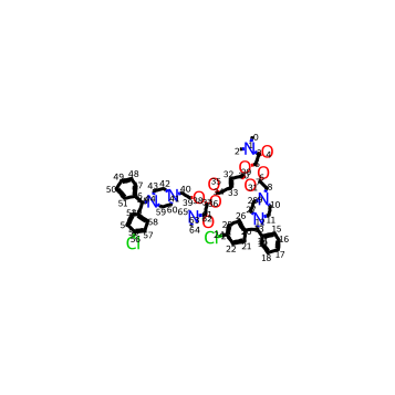 CN(C)C(=O)[C@H](OCCN1CCN(C(c2ccccc2)c2ccc(Cl)cc2)CC1)OC(=O)/C=C/C(=O)O[C@@H](OCCN1CCN(C(c2ccccc2)c2ccc(Cl)cc2)CC1)C(=O)N(C)C